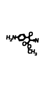 CCOC(=O)C(C#N)C(=O)c1ccc(N)cc1